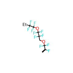 C=C(F)C(F)(F)OCC(F)(F)C(F)(F)OC(F)(F)C(F)(F)CC